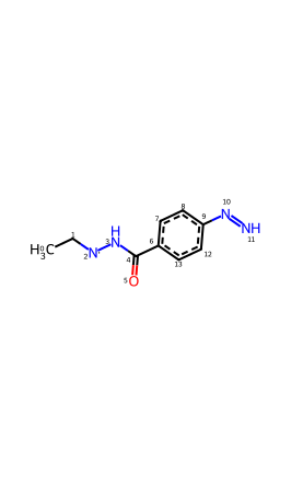 CC[N]NC(=O)c1ccc(N=N)cc1